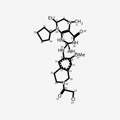 CCC1CN(C)C2=C(N[C@@](N)(Nc3cc4c(cc3OC)CN(C(=O)CCl)CC4)NC2=O)N1C1CCCC1